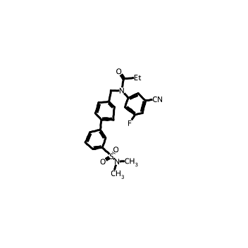 CCC(=O)N(Cc1ccc(-c2cccc(S(=O)(=O)N(C)C)c2)cc1)c1cc(F)cc(C#N)c1